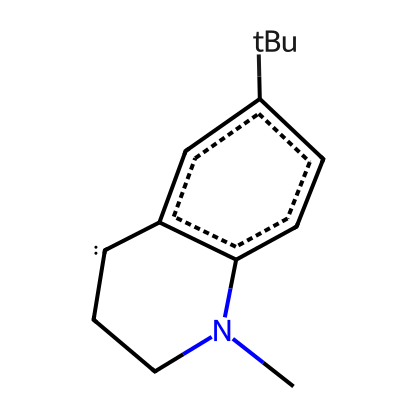 CN1CC[C]c2cc(C(C)(C)C)ccc21